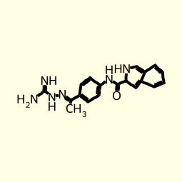 C/C(=N\NC(=N)N)c1ccc(NC(=O)C2C=c3ccccc3=CN2)cc1